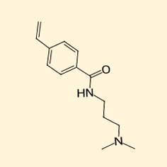 C=Cc1ccc(C(=O)NCCCN(C)C)cc1